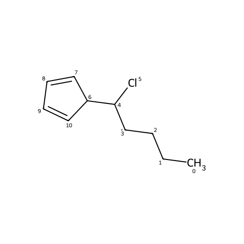 CCC[CH]C(Cl)C1C=CC=C1